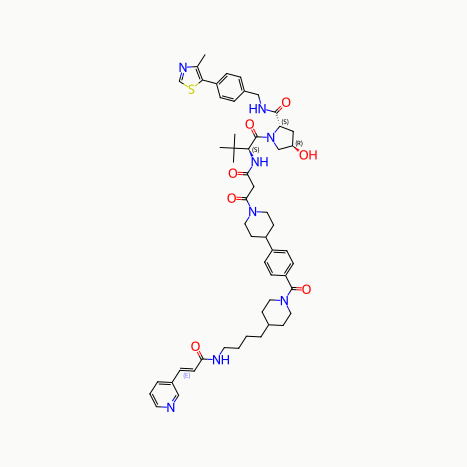 Cc1ncsc1-c1ccc(CNC(=O)[C@@H]2C[C@@H](O)CN2C(=O)[C@@H](NC(=O)CC(=O)N2CCC(c3ccc(C(=O)N4CCC(CCCCNC(=O)/C=C/c5cccnc5)CC4)cc3)CC2)C(C)(C)C)cc1